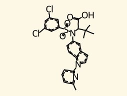 Cc1cccc(-n2ccc3cc(N(C(C(=O)O)C(C)(C)C)S(=O)(=O)c4cc(Cl)cc(Cl)c4)ccc32)n1